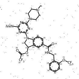 CNc1nc(N2CCN(C)CC2)nc(N2CC(OC(=O)C(F)(F)F)c3cc(C(=O)NCc4ccccc4OC(F)(F)F)ccc32)n1